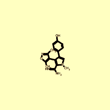 Cc1noc(C)c1-c1c(-c2ccc(O)cc2)cn(C)c1C(=N)N